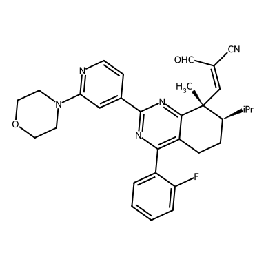 CC(C)[C@H]1CCc2c(-c3ccccc3F)nc(-c3ccnc(N4CCOCC4)c3)nc2[C@]1(C)/C=C(/C#N)C=O